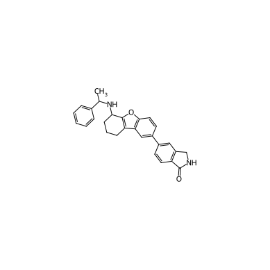 CC(NC1CCCc2c1oc1ccc(-c3ccc4c(c3)CNC4=O)cc21)c1ccccc1